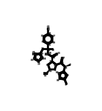 Cc1cc([C@@H](C)C(=O)N2C[C@H](O)C[C@H]2C(=O)NC(C)(Cc2nnn[nH]2)c2ccc(Cl)cc2)on1